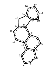 [c]1cccc2c1ccc1c3c(ccc12)Cc1ccccc1-3